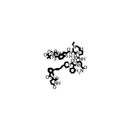 CCN1CC[C@H]2CC[C@@H](C(=O)NC(CCC(N)=O)C(=O)NC(C(=O)N3CCC(CCC#Cc4cccc5c4CN(C4CCC(=O)NC4=O)C5=O)CC3)C3CCCCC3)N2C(=O)[C@@H](NC(=O)c2cc3cc(C(F)(F)P(=O)(O)OCOC(=O)C(C)(C)C)ccc3s2)C1